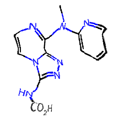 CN(c1ccccn1)c1nccn2c(NC(=O)O)nnc12